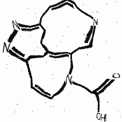 O=C(O)n1ccc2nnc3ccncc1c32